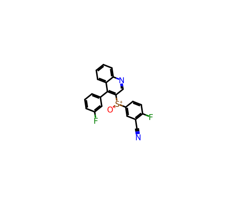 N#Cc1cc([S+]([O-])c2cnc3ccccc3c2-c2cccc(F)c2)ccc1F